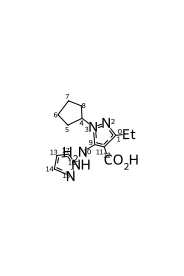 CCc1nn(C2CCCC2)c(N)c1C(=O)O.c1cn[nH]c1